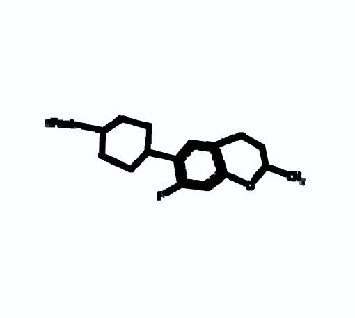 CCCCCC1CCC(c2cc3c(cc2F)OC(C)CC3)CC1